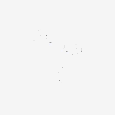 CC1(C)C(/C=C/C2CCC/C(=C\C=C3\N(CCCNC(=O)CN4CCN(CC(=O)O)CCN(CC(=O)O)CC4)c4ccccc4C3(C)C)C2Cl)=[N+](CCCCS(=O)(=O)O)c2ccccc21